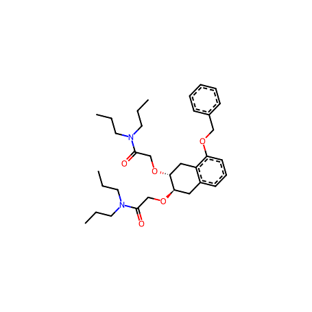 CCCN(CCC)C(=O)CO[C@@H]1Cc2cccc(OCc3ccccc3)c2C[C@H]1OCC(=O)N(CCC)CCC